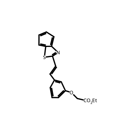 CCOC(=O)COc1cccc(C=Cc2nc3ccccc3s2)c1